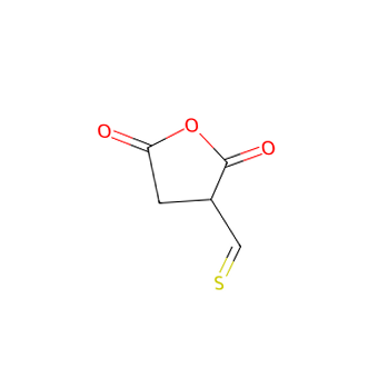 O=C1CC(C=S)C(=O)O1